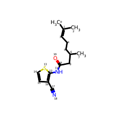 CC(C)=CCCC(C)CC(=O)Nc1sccc1C#N